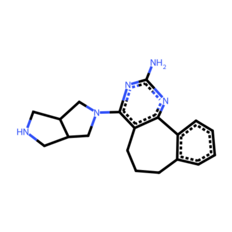 Nc1nc2c(c(N3CC4CNCC4C3)n1)CCCc1ccccc1-2